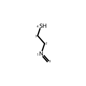 C=NCCS